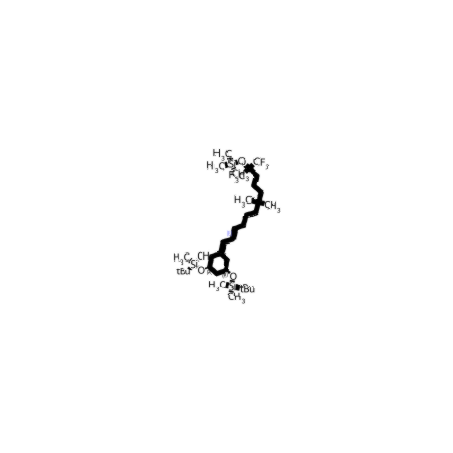 CC(C)(CCC/C=C/C=C1C[C@@H](O[Si](C)(C)C(C)(C)C)C[C@H](O[Si](C)(C)C(C)(C)C)C1)CCCC(O[Si](C)(C)C)(C(F)(F)F)C(F)(F)F